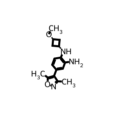 CO[C@H]1C[C@@H](Nc2ccc(-c3c(C)noc3C)cc2N)C1